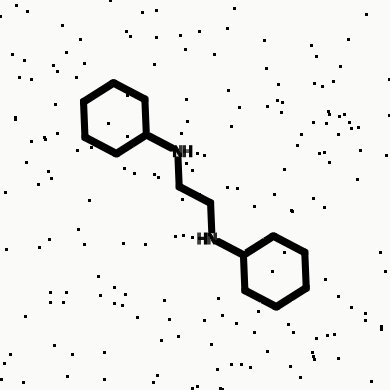 C1CCC(NCCNC2CCCCC2)CC1